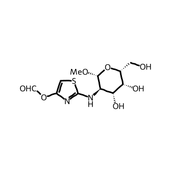 CO[C@@H]1O[C@H](CO)[C@H](O)[C@H](O)[C@H]1Nc1nc(OC=O)cs1